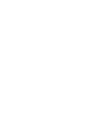 CC(=O)c1cc(-c2cc(C(C)(C)C)c(O)c(C(C)(C)C)c2)no1